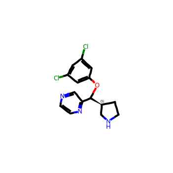 Clc1cc(Cl)cc(OC(c2cnccn2)[C@H]2CCNC2)c1